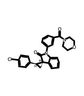 O=C(c1cccc(N2C(=O)[C@@]3(C[C@H]3c3ccc(Cl)cc3)c3ccccc32)c1)N1CCOCC1